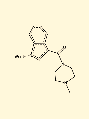 CCCCCn1cc(C(=O)N2CCN(C)CC2)c2ccccc21